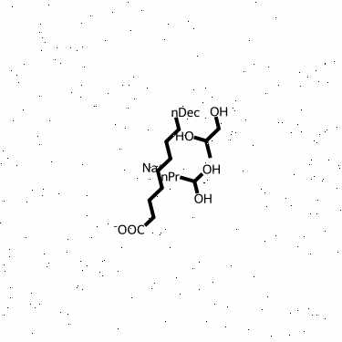 CC(O)CO.CCCC(O)O.CCCCCCCCCCCCCCCCCC(=O)[O-].[Na+]